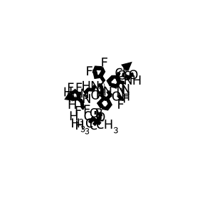 CC1(C)OB(c2ccc3c(c2)N=C([C@H](Cc2cc(F)cc(F)c2)NC(=O)Cn2nc(C(F)F)c4c2C(F)(F)[C@@H]2C[C@H]42)N(c2ccc(Cl)c4c(NS(=O)(=O)C5CC5)nn(CC(F)F)c24)C3O)OC1(C)C